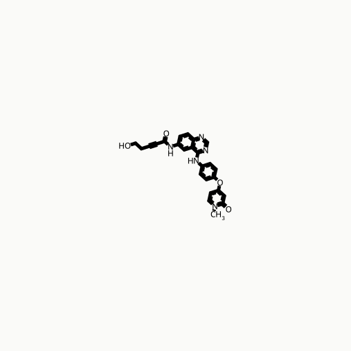 Cn1ccc(Oc2ccc(Nc3ncnc4ccc(NC(=O)C#CCCO)cc34)cc2)cc1=O